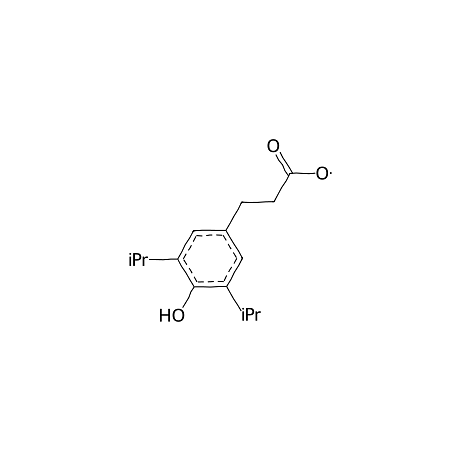 CC(C)c1cc(CCC([O])=O)cc(C(C)C)c1O